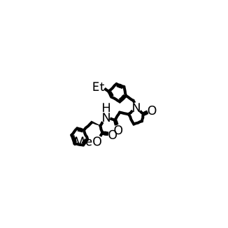 CCc1ccc(CN2C(=O)CCC2CC(=O)N[C@H](Cc2ccccc2)C(=O)OC)cc1